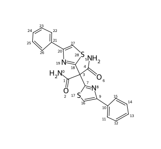 NC(=O)C(C(N)=O)(c1nc(-c2ccccc2)cs1)c1nc(-c2ccccc2)cs1